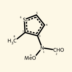 CON(C=O)c1ccsc1C